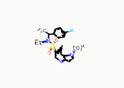 CCN(C(c1ccc(F)cc1)C(F)(F)F)S(=O)(=O)c1cnc2ccn(C(=O)O)c2c1